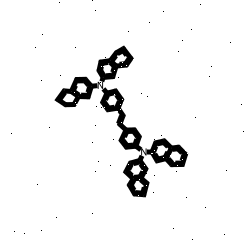 C1=Cc2ccc(N(c3ccc(C=Cc4ccc(N(c5ccc6ccccc6c5)c5ccc6ccccc6c5)cc4)cc3)c3ccc4ccccc4c3)cc2CC1